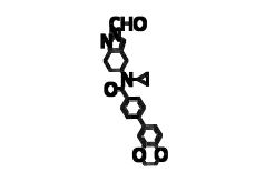 O=Cn1cc2c(n1)CCC(N(C(=O)c1ccc(-c3ccc4c(c3)OCCO4)cc1)C1CC1)C2